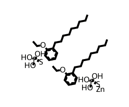 CCCCCCCCCc1ccccc1OCC.CCCCCCCCCc1ccccc1OCC.OP(O)(O)=S.OP(O)(O)=S.[Zn]